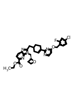 CCOC(=O)c1ccc2nc(CC3CC=C(c4nccc(OCc5ccc(Cl)cc5F)n4)CC3)n(C[C@@H]3CCO3)c2n1